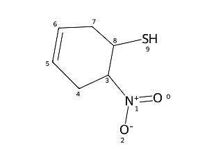 O=[N+]([O-])C1CC=CCC1S